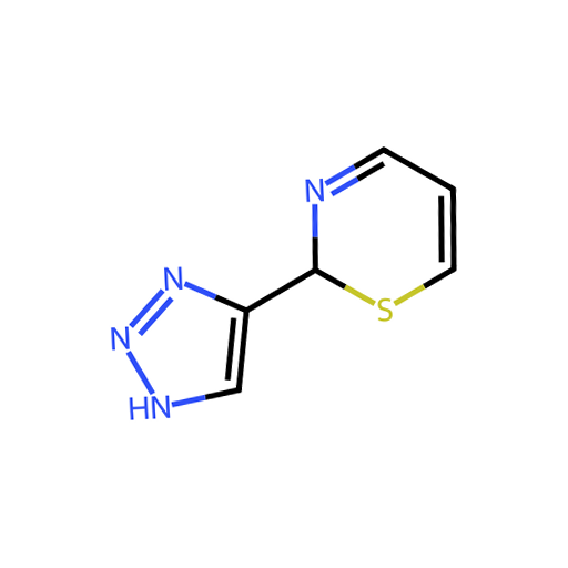 C1=CSC(c2c[nH]nn2)N=C1